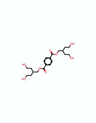 O=C(OCC(CCO)CCO)c1ccc(C(=O)OCC(CCO)CCO)cc1